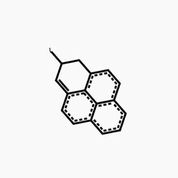 IC1C=c2ccc3cccc4ccc(c2c43)C1